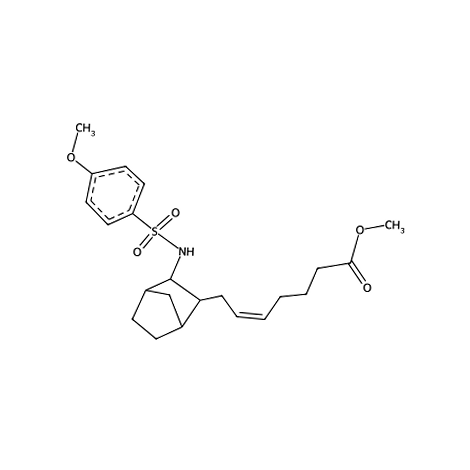 COC(=O)CCC/C=C\CC1C2CCC(C2)C1NS(=O)(=O)c1ccc(OC)cc1